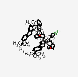 CC(C)(C)c1ccc2c(c1)Cc1c-2ccc(C(C)(C)C)[c]1[Hf]([C]1=CC=CC1)=[C](Cc1ccccc1)Cc1ccccc1.CC(C)(C)c1ccc2c(c1)Cc1c-2ccc(C(C)(C)C)[c]1[Hf]([C]1=CC=CC1)=[C](Cc1ccccc1)Cc1ccccc1.[Cl-].[Cl-]